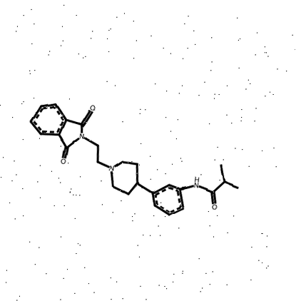 CC(C)C(=O)Nc1cccc(C2CCN(CCN3C(=O)c4ccccc4C3=O)CC2)c1